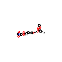 C=C(CC(=O)OC1CCCCC1)C(=O)OCCCOc1ccc(-c2ccc(/C=C/C(=O)Oc3ccc(N4C(=O)C=CC4=O)cc3)c(CC)c2)cc1